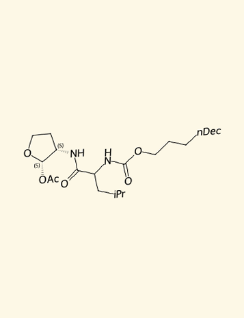 CCCCCCCCCCCCCOC(=O)NC(CC(C)C)C(=O)N[C@H]1CCO[C@H]1OC(C)=O